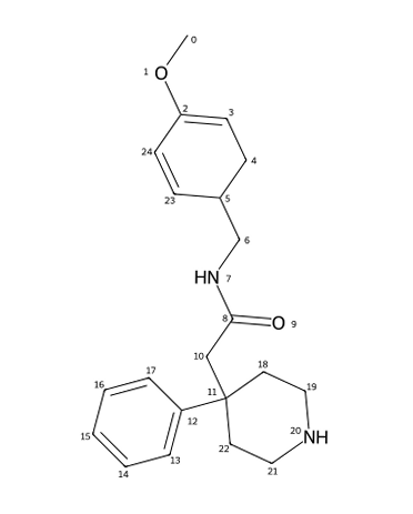 COC1=CCC(CNC(=O)CC2(c3ccccc3)CCNCC2)C=C1